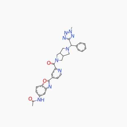 CC(=O)Nc1ccc2oc(-c3ccnc(C(=O)N4CC5CN(C(c6ccccc6)c6nnn(C)n6)CC5C4)c3)nc2c1